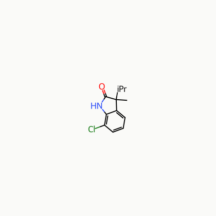 CC(C)C1(C)C(=O)Nc2c(Cl)cccc21